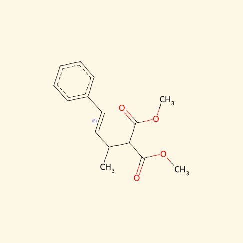 COC(=O)C(C(=O)OC)C(C)/C=C/c1ccccc1